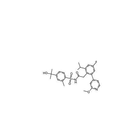 COc1cc(-c2cc(F)cc(C(C)C)c2CC(=O)NS(=O)(=O)c2ccc(C(C)(C)O)cc2C)ccn1